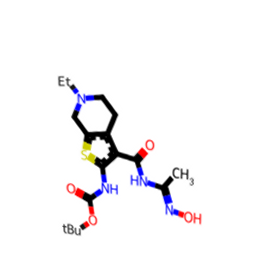 CCN1CCc2c(sc(NC(=O)OC(C)(C)C)c2C(=O)N/C(C)=N/O)C1